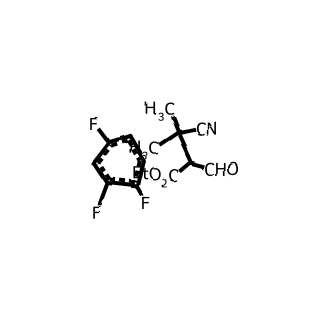 CCOC(=O)C(C=O)C(C)(C)C#N.Fc1ccc(F)c(F)c1